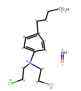 N=O.O=C(O)CCCc1ccc(N(CCCl)CCCl)cc1